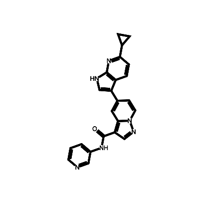 O=C(Nc1cccnc1)c1cnn2ccc(-c3c[nH]c4nc(C5CC5)ccc34)cc12